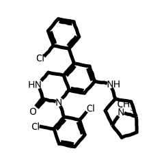 CN1C2CCC1CC(Nc1cc(-c3ccccc3Cl)c3c(c1)N(c1c(Cl)cccc1Cl)C(=O)NC3)C2